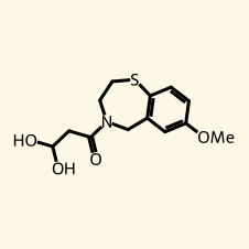 COc1ccc2c(c1)CN(C(=O)CC(O)O)CCS2